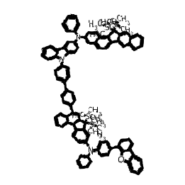 C[Si](C)(C)C1([Si](C)(C)C)c2cc(N(c3ccccc3)c3ccc(-c4cccc5c4oc4ccccc45)cc3)ccc2-c2c1cc(-c1ccc(-c3ccc(-n4c5ccccc5c5cc(N(c6ccccc6)c6ccc7c8c(ccc7c6)-c6cc7ccccc7cc6C8([Si](C)(C)C)[Si](C)(C)C)ccc54)cc3)cc1)c1ccccc21